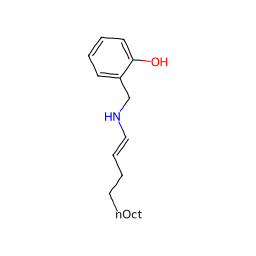 CCCCCCCCCC/C=C/NCc1ccccc1O